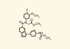 COC(=O)CN(C(=O)c1ccc2ncc(-c3ccc(NC(=O)OC)nc3)n2c1)c1ccc(F)c(OC)c1